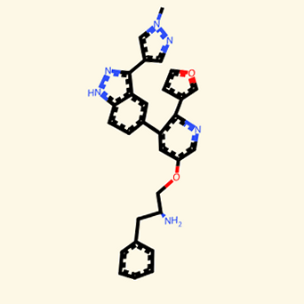 Cn1cc(-c2n[nH]c3ccc(-c4cc(OC[C@@H](N)Cc5ccccc5)cnc4-c4ccoc4)cc23)cn1